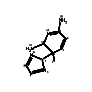 CC1(n2nccn2)C=CC(N)=NC1N